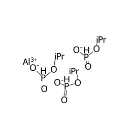 CC(C)O[PH](=O)[O-].CC(C)O[PH](=O)[O-].CC(C)O[PH](=O)[O-].[Al+3]